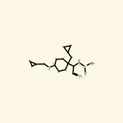 C=CC(N[S+]([O-])C(C)(C)C)C1(CC2CC2)CCC(SCC2CC2)CC1